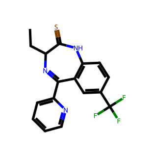 CCC1N=C(c2ccccn2)c2cc(C(F)(F)F)ccc2NC1=S